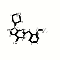 O=c1[nH]c(Cc2ccccc2OC(F)(F)F)nc2c1cnn2C1CCNCC1